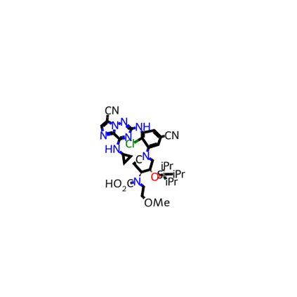 COCCN(C(=O)O)[C@@H]1CCN(c2cc(C#N)cc(Nc3nc(NC4CC4)c4ncc(C#N)n4n3)c2Cl)C[C@@H]1O[Si](C(C)C)(C(C)C)C(C)C